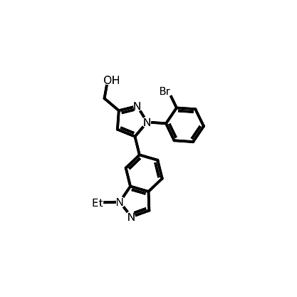 CCn1ncc2ccc(-c3cc(CO)nn3-c3ccccc3Br)cc21